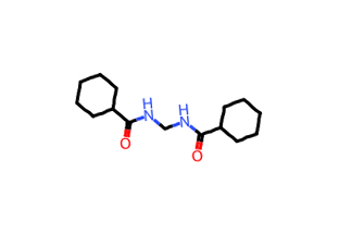 O=C(NCNC(=O)C1CCCCC1)C1CCCCC1